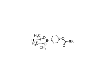 CC(C)(C)C(=O)ON1CC=C(B2OC(C)(C)C(C)(C)O2)CC1